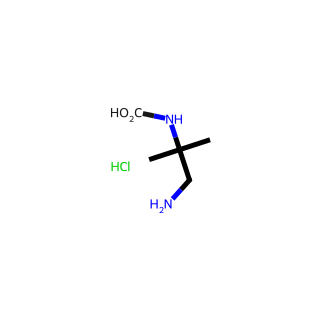 CC(C)(CN)NC(=O)O.Cl